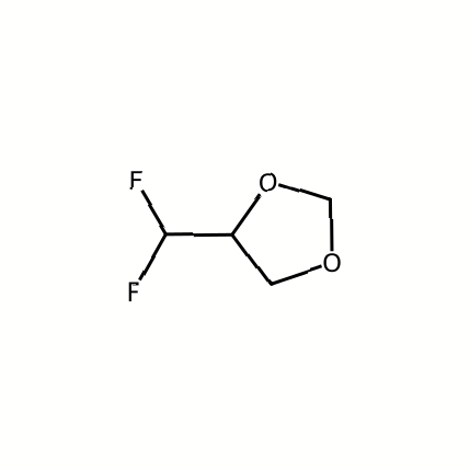 FC(F)C1COCO1